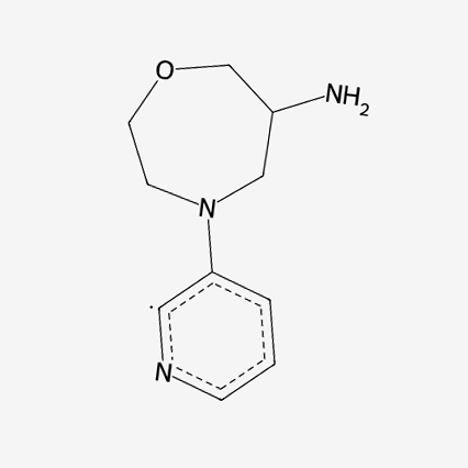 NC1COCCN(c2[c]nccc2)C1